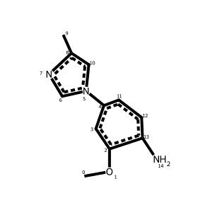 COc1cc(-n2cnc(C)c2)ccc1N